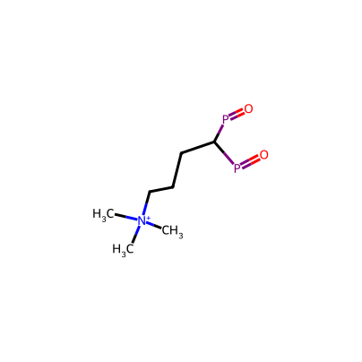 C[N+](C)(C)CCCC(P=O)P=O